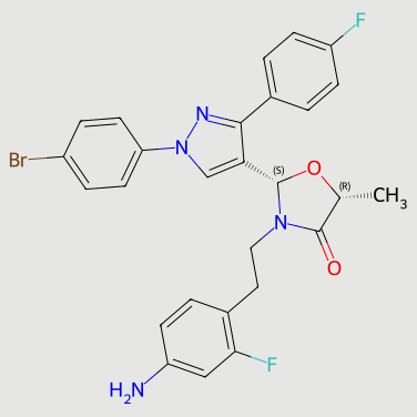 C[C@H]1O[C@@H](c2cn(-c3ccc(Br)cc3)nc2-c2ccc(F)cc2)N(CCc2ccc(N)cc2F)C1=O